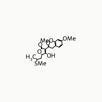 COc1ccc(CC(=O)C2=C(O)C(CC(C)SC)OC2=O)c(OC)c1